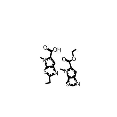 CCOC(=O)c1cc2ncsc2n1C.CCc1nc2cc(C(=O)O)n(C)c2s1